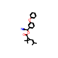 CC(C)=CC1C(C(=O)OC(C#N)c2cccc(Oc3ccccc3)c2)C1(C)C